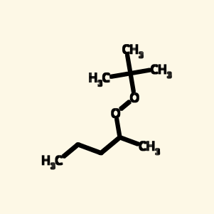 CCCC(C)OOC(C)(C)C